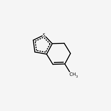 CC1=Cc2ccsc2CC1